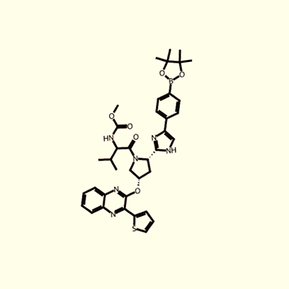 COC(=O)NC(C(=O)N1C[C@@H](Oc2nc3ccccc3nc2-c2cccs2)C[C@H]1c1nc(-c2ccc(B3OC(C)(C)C(C)(C)O3)cc2)c[nH]1)C(C)C